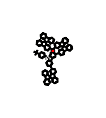 CC(C)(C)c1ccc(-n2c3ccc(-c4ccc5c(c4)C4(c6ccccc6-c6ccccc64)c4ccccc4-5)cc3c3cc(-c4ccc5c(c4)C4(c6ccccc6-c6ccc(C(=O)c7ccc8c(c7)C7(c9ccccc9-c9ccccc97)c7ccccc7-8)cc64)c4ccccc4-5)ccc32)cc1